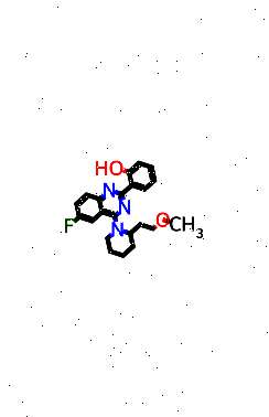 COCCC1CCCCN1c1nc(-c2ccccc2O)nc2ccc(F)cc12